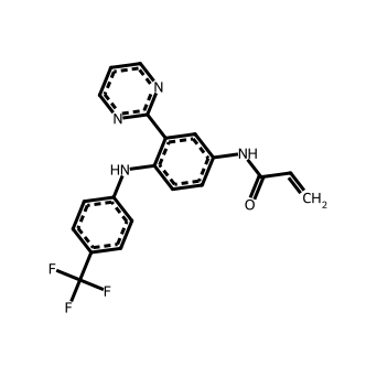 C=CC(=O)Nc1ccc(Nc2ccc(C(F)(F)F)cc2)c(-c2ncccn2)c1